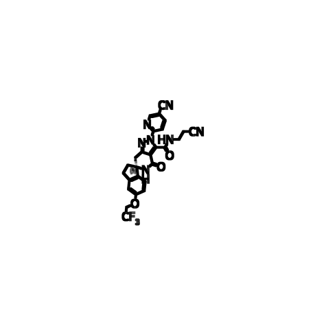 N#CCCNC(=O)c1c2c(nn1-c1ccc(C#N)cn1)C[C@]1(CCc3cc(OCC(F)(F)F)ccc31)NC2=O